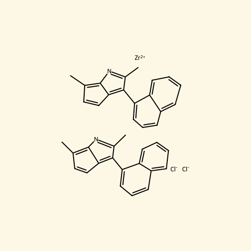 CC1=NC2=C(C)C=CC2=C1c1cccc2ccccc12.CC1=NC2=C(C)C=CC2=C1c1cccc2ccccc12.[Cl-].[Cl-].[Zr+2]